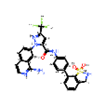 Nc1nccc2ccc(-n3nc(C(F)(F)F)cc3C(=O)Nc3ccc(-c4cccc5c4S(=O)(=O)NC5)cc3)cc12